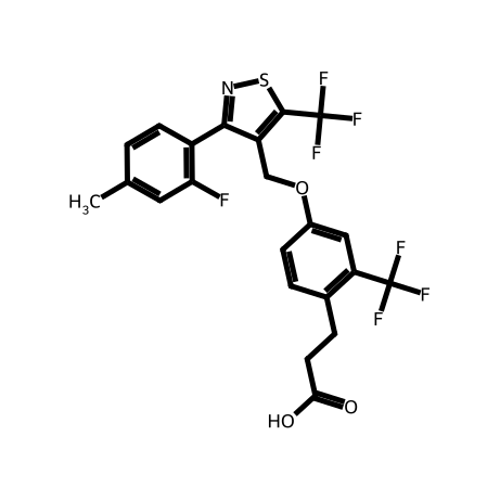 Cc1ccc(-c2nsc(C(F)(F)F)c2COc2ccc(CCC(=O)O)c(C(F)(F)F)c2)c(F)c1